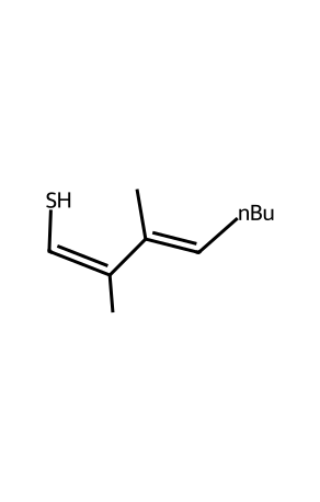 CCCC/C=C(C)/C(C)=C\S